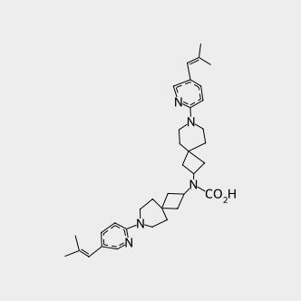 CC(C)=Cc1ccc(N2CCC3(CC2)CC(N(C(=O)O)C2CC4(CCN(c5ccc(C=C(C)C)cn5)CC4)C2)C3)nc1